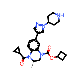 C[C@H]1CN(C(=O)OC2CCC2)c2cc(-c3cnn(C4CCNCC4)c3)ccc2N1C(=O)C1CC1